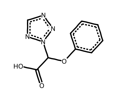 O=C(O)C(Oc1ccccc1)n1ncnn1